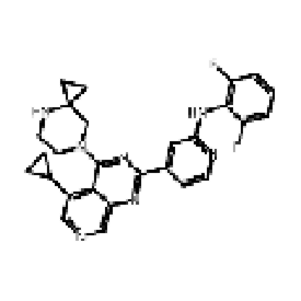 Fc1cccc(F)c1Nc1cc(-c2nc(N3CCNC4(CC4)C3)c3c(C4CC4)cncc3n2)ccn1